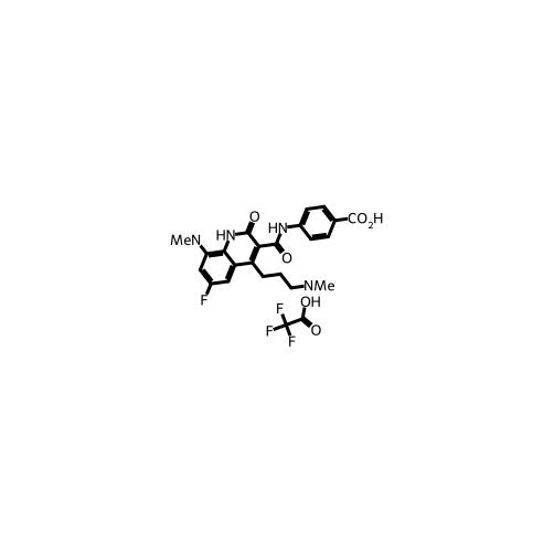 CNCCCc1c(C(=O)Nc2ccc(C(=O)O)cc2)c(=O)[nH]c2c(NC)cc(F)cc12.O=C(O)C(F)(F)F